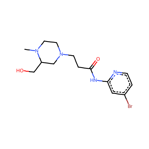 CN1CCN(CCC(=O)Nc2cc(Br)ccn2)CC1CO